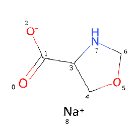 O=C([O-])C1COCN1.[Na+]